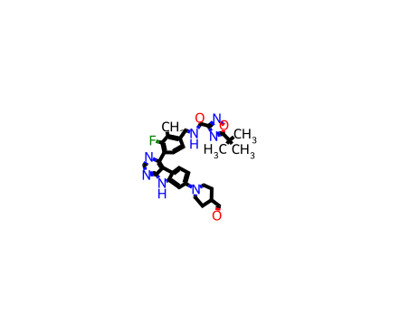 Cc1c(CNC(=O)c2noc(C(C)(C)C)n2)ccc(-c2ncnc3[nH]c4cc(N5CCC(C=O)CC5)ccc4c23)c1F